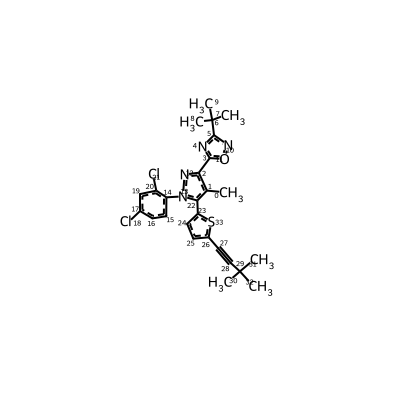 Cc1c(-c2nc(C(C)(C)C)no2)nn(-c2ccc(Cl)cc2Cl)c1-c1ccc(C#CC(C)(C)C)s1